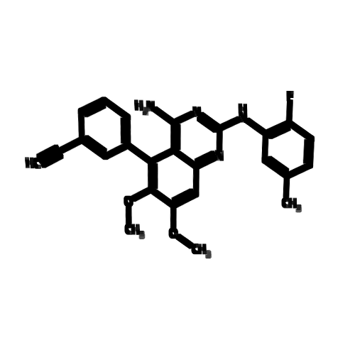 C#Cc1cccc(-c2c(OC)c(OC)cc3nc(Nc4cc(C)ccc4F)nc(N)c23)c1